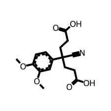 COc1ccc(C(C#N)(CCC(=O)O)CCC(=O)O)cc1OC